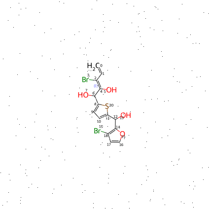 C=C/C(Br)=C(\O)C(O)c1ccc(C(O)c2occc2Br)s1